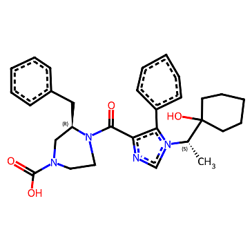 C[C@H](n1cnc(C(=O)N2CCN(C(=O)O)C[C@H]2Cc2ccccc2)c1-c1ccccc1)C1(O)CCCCC1